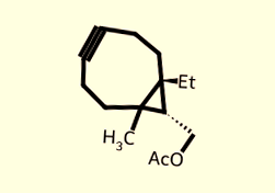 CC[C@]12CCC#CCCC1(C)[C@H]2COC(C)=O